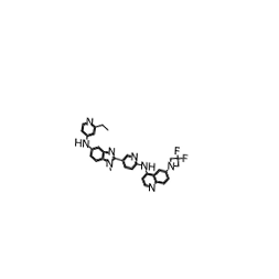 CCc1cc(Nc2ccc3c(c2)nc(-c2ccc(Nc4ccnc5ccc(N6CC(F)(F)C6)cc45)nc2)n3C)ccn1